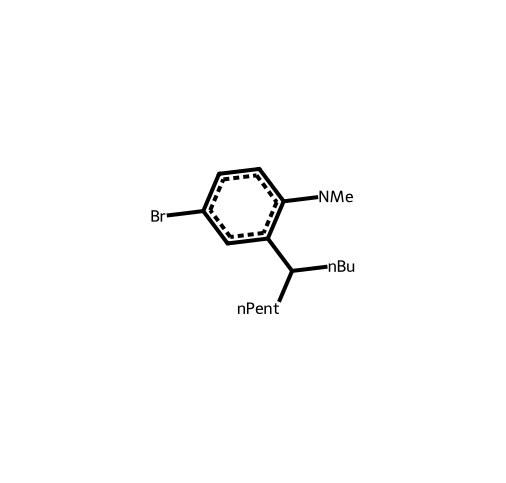 CCCCCC(CCCC)c1cc(Br)ccc1NC